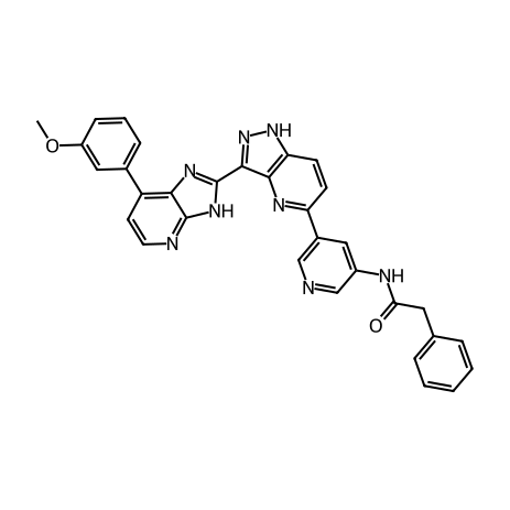 COc1cccc(-c2ccnc3[nH]c(-c4n[nH]c5ccc(-c6cncc(NC(=O)Cc7ccccc7)c6)nc45)nc23)c1